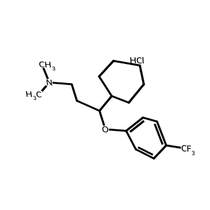 CN(C)CCC(Oc1ccc(C(F)(F)F)cc1)C1CCCCC1.Cl